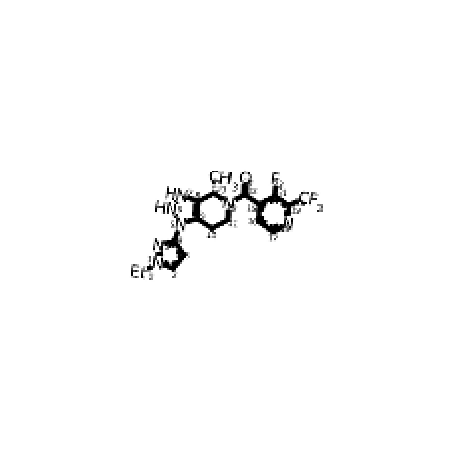 CCn1ccc(N2NNC3=C2CCN(C(=O)c2ccnc(C(F)(F)F)c2F)[C@H]3C)n1